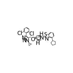 Clc1cccc(Cl)c1-c1nnn(C2CC2)c1CO[C@@H]1C[C@@H]2C[C@H]1CN2c1nc2c(C3CCCC3)cccc2s1